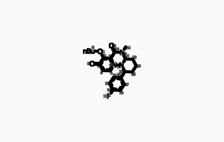 CCCCOc1c2n(ccc1=O)N1C(c3ccc(F)cc3)CCCC1N(C)C2=O